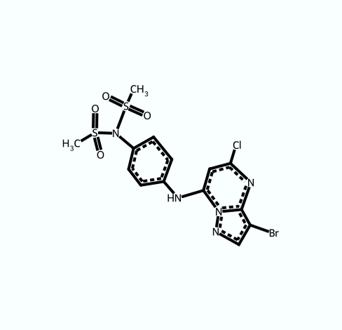 CS(=O)(=O)N(c1ccc(Nc2cc(Cl)nc3c(Br)cnn23)cc1)S(C)(=O)=O